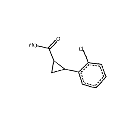 O=C(O)C1CC1c1ccccc1Cl